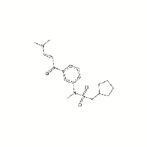 CN(C)C=CC(=O)c1cccc(N(C)S(=O)(=O)CC2CCCC2)c1